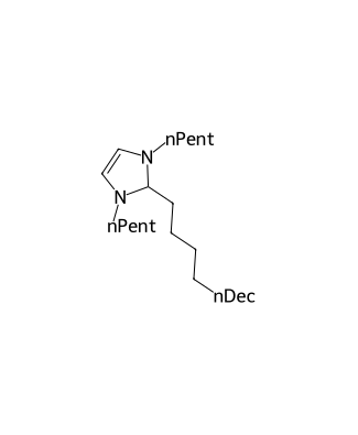 CCCCCCCCCCCCCCC1N(CCCCC)C=CN1CCCCC